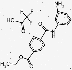 CCOC(=O)c1ccc(C(=O)Nc2cccc(N)c2)cc1.O=C(O)C(F)(F)F